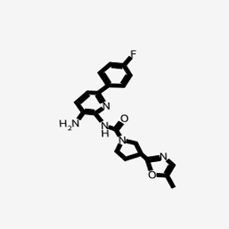 Cc1cnc(C2CCN(C(=O)Nc3nc(-c4ccc(F)cc4)ccc3N)C2)o1